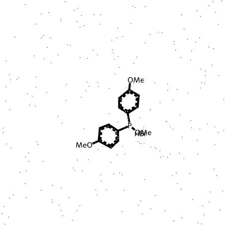 Br.COc1ccc(P(OC)c2ccc(OC)cc2)cc1